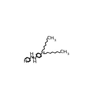 CCCCCCCCN(CCCCCCCC)c1ccc(NNc2ccncc2)cc1